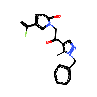 C=C(F)c1ccc(=O)n(CC(=O)c2cnn(Cc3ccccc3)c2C)c1